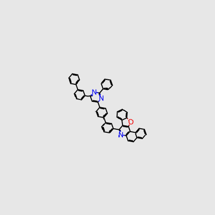 c1ccc(-c2cccc(-c3cc(-c4ccc(-c5cccc(-c6nc7ccc8ccccc8c7c7oc8ccccc8c67)c5)cc4)nc(-c4ccccc4)n3)c2)cc1